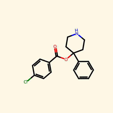 O=C(OC1(c2ccccc2)CCNCC1)c1ccc(Cl)cc1